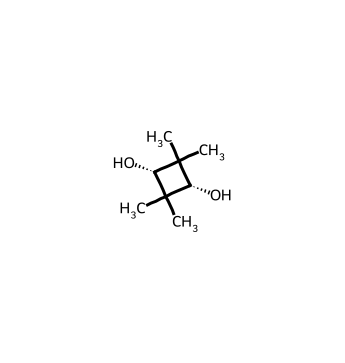 CC1(C)[C@H](O)C(C)(C)[C@@H]1O